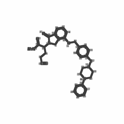 CNC(=O)C(CCC=O)N1Cc2c(OCc3ccc(SN4CCN(c5ccccc5)CC4)cc3)cccc2C1=O